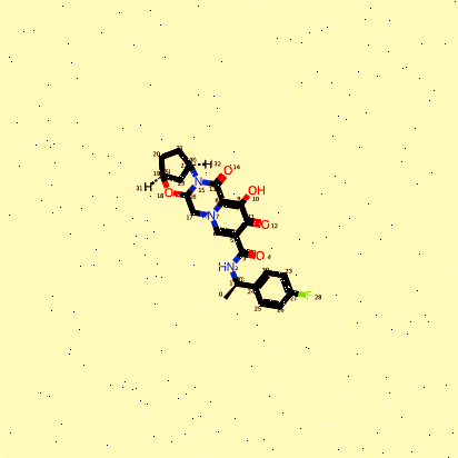 C[C@@H](NC(=O)c1cn2c(c(O)c1=O)C(=O)N1C(C2)O[C@H]2CC[C@@H]1C2)c1ccc(F)cc1